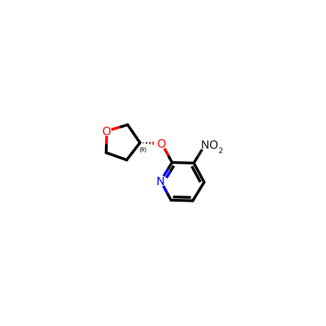 O=[N+]([O-])c1cccnc1O[C@@H]1CCOC1